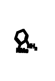 CNC1=CCCC=C1N